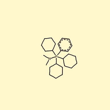 CN(C)P(c1ccccc1)(C1CCCCC1)(C1CCCCC1)C1CCCCC1